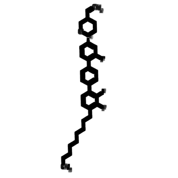 C=CC1CC[C@H](c2ccc(-c3ccc(-c4ccc(CCCCCCCCC)c(F)c4F)cc3)c(F)c2)OC1